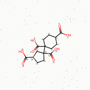 O=C(O)C1CCC(C(=O)O)(C2(C(=O)O)CCC(C(=O)O)C2)CC1